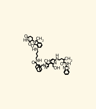 C=C(CCNc1ccc(-c2cnn(CC34CC5CC(C3)CC(C(=O)NCCCCNc3cccc6c3C(=O)N(C3CCC(=O)NC3=O)C6=C)(C5)C4)c2C)c(CO)n1)C(=O)Nc1nc2ccccc2s1